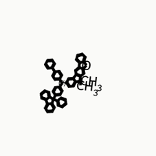 CC1(C)c2ccc([C@H](c3ccc(-c4ccccc4)cc3)c3ccc(C4(c5ccccc5)c5ccccc5-c5ccccc54)cc3)cc2-c2cc3c(cc21)oc1ccccc13